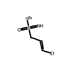 CC/C=C/CS(=N)(=O)CCC